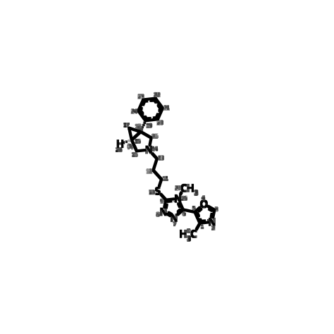 Cc1ncoc1-c1nnc(SCCCN2C[C@H]3C[C@@]3(c3ccccc3)C2)n1C